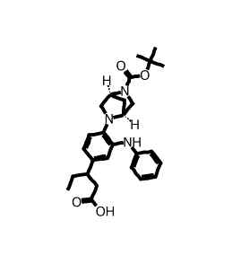 CCC(CC(=O)O)c1ccc(N2C[C@@H]3C[C@H]2CN3C(=O)OC(C)(C)C)c(Nc2ccccc2)c1